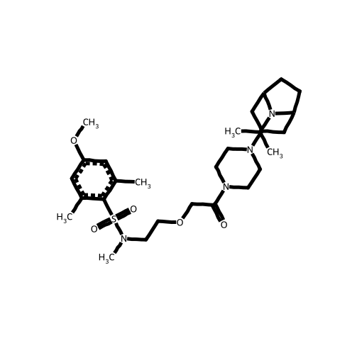 COc1cc(C)c(S(=O)(=O)N(C)CCOCC(=O)N2CCN(C3CC4CCC(C3)N4C(C)C)CC2)c(C)c1